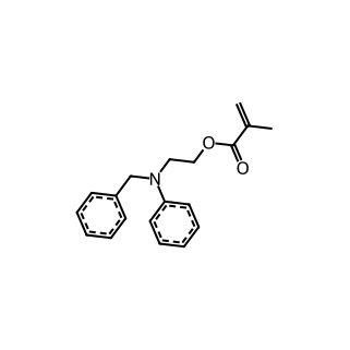 C=C(C)C(=O)OCCN(Cc1ccccc1)c1ccccc1